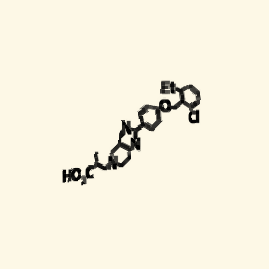 CCc1cccc(Cl)c1COc1ccc(-c2ncc3c(n2)CCN(CC(C)C(=O)O)C3)cc1